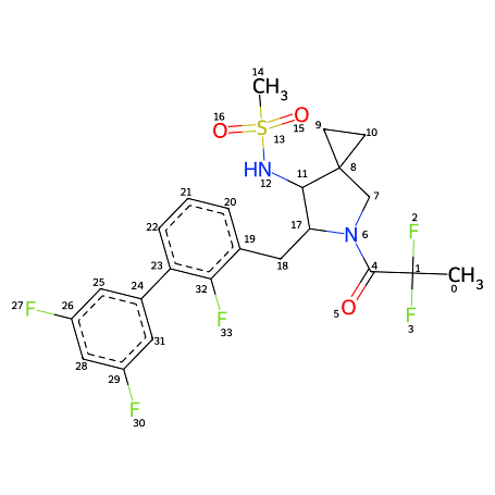 CC(F)(F)C(=O)N1CC2(CC2)C(NS(C)(=O)=O)C1Cc1cccc(-c2cc(F)cc(F)c2)c1F